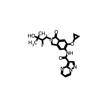 CC(C)(O)C(F)CN1Cc2cc(NC(=O)c3cnn4cccnc34)c(OC3CC3)cc2C1=O